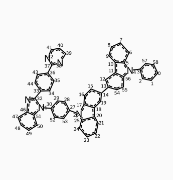 c1ccc(-n2c3ccccc3c3cc(-c4ccc5c(c4)c4ccccc4n5-c4ccc(-n5c(-c6ccc(-c7ncccn7)cc6)nc6ccccc65)cc4)ccc32)cc1